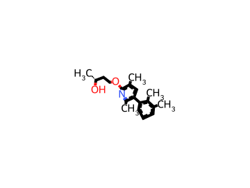 Cc1cc(-c2cccc(C)c2C)c(C)nc1OCC[C@@H](C)O